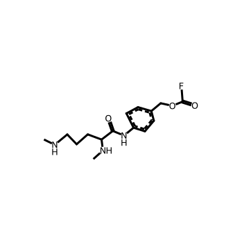 CNCCCC(NC)C(=O)Nc1ccc(COC(=O)F)cc1